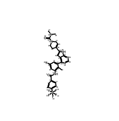 Cc1c(NC(=O)c2ccc(S(F)(F)(F)(F)F)cc2)cc(F)cc1-c1ncnc2[nH]c(C3=CCN(C(=O)N(C)C)CC3)cc12